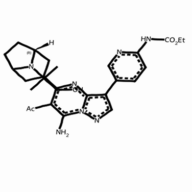 CCOC(=O)Nc1ccc(-c2cnn3c(N)c(C(C)=O)c(C4CC5CC[C@H](C4)N5C(C)(C)CO)nc23)cn1